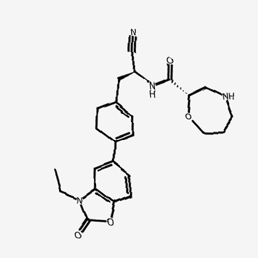 CCn1c(=O)oc2ccc(C3=CC=C(C[C@@H](C#N)NC(=O)[C@@H]4CNCCCO4)CC3)cc21